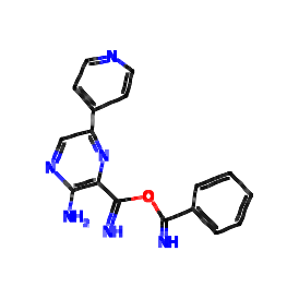 N=C(OC(=N)c1nc(-c2ccncc2)cnc1N)c1ccccc1